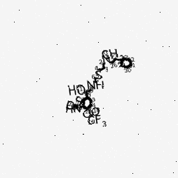 CN(CCCSCCNC[C@H](O)c1ccc(OC(=O)C(F)(F)F)c2[nH]c(=O)sc12)CCc1ccccc1